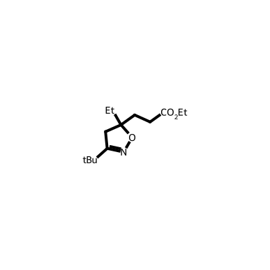 CCOC(=O)CCC1(CC)CC(C(C)(C)C)=NO1